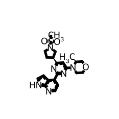 C[C@@H]1COCCN1c1cc([C@H]2CCN(S(C)(=O)=O)C2)nc(-c2ccnc3[nH]ccc23)n1